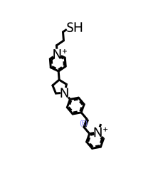 C[n+]1ccccc1/C=C/c1ccc(N2CCC(c3cc[n+](CCCS)cc3)C2)cc1